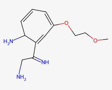 COCCOC1=CC=CC(N)C(C(=N)CN)=C1